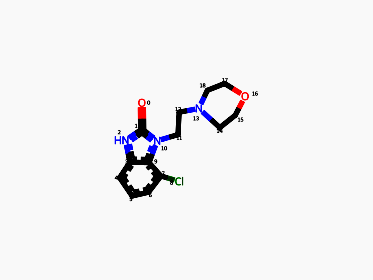 O=c1[nH]c2cccc(Cl)c2n1CCN1CCOCC1